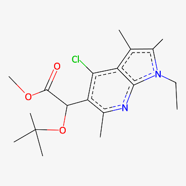 CCn1c(C)c(C)c2c(Cl)c(C(OC(C)(C)C)C(=O)OC)c(C)nc21